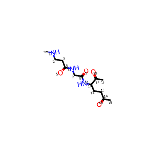 CNCCC(=O)NCC(=O)NC(CCC(C)=O)C(C)=O